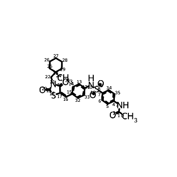 CC(=O)Nc1ccc(S(=O)(=O)Nc2ccc(C=C3SC(=O)N(CC4(C)CCCCC4)C3=O)cc2)cc1